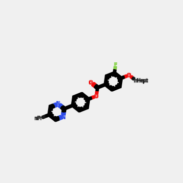 CCCCCCCOc1ccc(C(=O)Oc2ccc(-c3ncc(CCC)cn3)cc2)cc1F